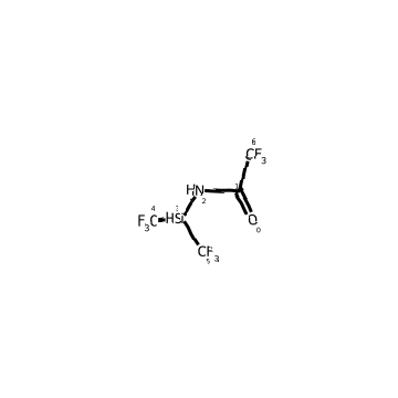 O=C(N[SiH](C(F)(F)F)C(F)(F)F)C(F)(F)F